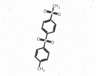 Cc1ccc(S(=O)(=O)c2ccc(S(C)(=O)=O)cc2)cc1